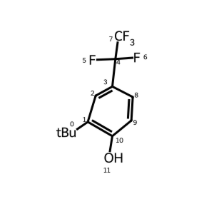 CC(C)(C)c1cc(C(F)(F)C(F)(F)F)ccc1O